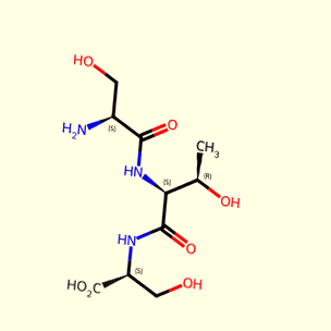 C[C@@H](O)[C@H](NC(=O)[C@@H](N)CO)C(=O)N[C@@H](CO)C(=O)O